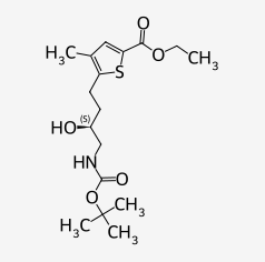 CCOC(=O)c1cc(C)c(CC[C@H](O)CNC(=O)OC(C)(C)C)s1